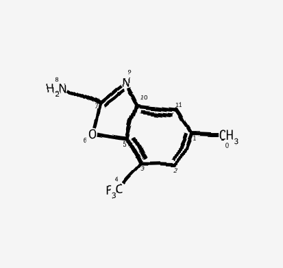 Cc1cc(C(F)(F)F)c2oc(N)nc2c1